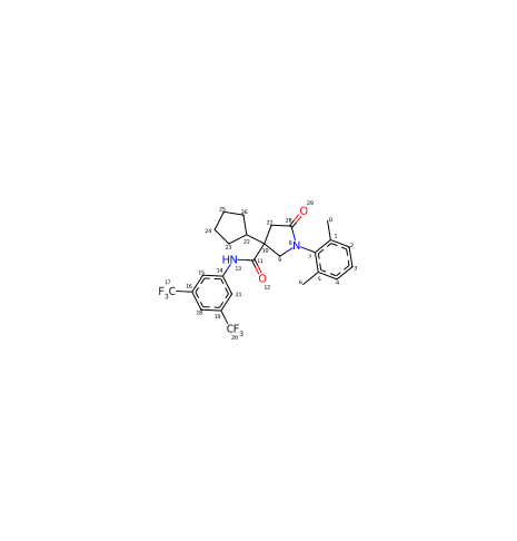 Cc1cccc(C)c1N1CC(C(=O)Nc2cc(C(F)(F)F)cc(C(F)(F)F)c2)(C2CCCC2)CC1=O